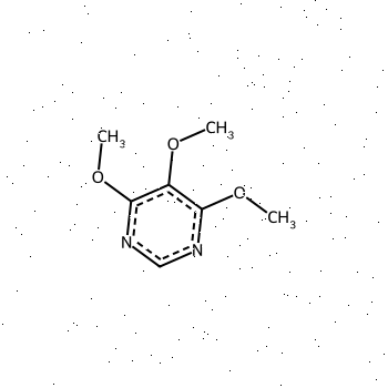 COc1ncnc(OC)c1OC